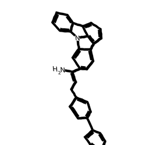 N/C(=C\Cc1ccc(-c2ccccc2)cc1)c1ccc2c3cccc4c5ccccc5n(c2c1)c43